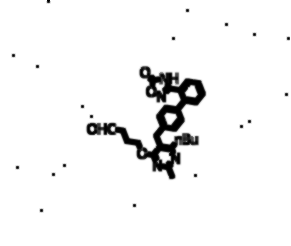 CCCCc1nc(C)nc(OCCCC=O)c1Cc1ccc(-c2ccccc2-c2noc(=O)[nH]2)cc1